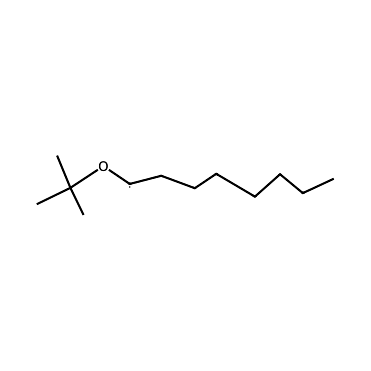 CCCCCCC[CH]OC(C)(C)C